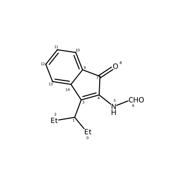 CCC(CC)C1=C(NC=O)C(=O)c2ccccc21